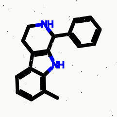 Cc1cccc2c3c([nH]c12)C(c1ccccc1)NCC3